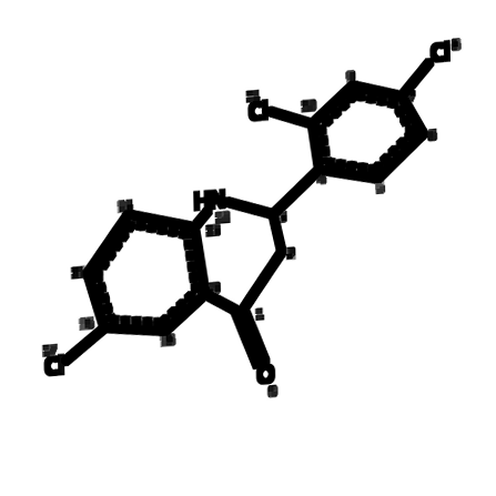 O=C1CC(c2ccc(Cl)cc2Cl)Nc2ccc(Cl)cc21